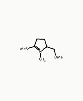 COCC1CCC(SC)=[N+]1C